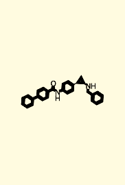 O=C(Nc1ccc([C@@H]2C[C@H]2NCc2ccccc2)cc1)c1ccc(-c2ccccc2)cc1